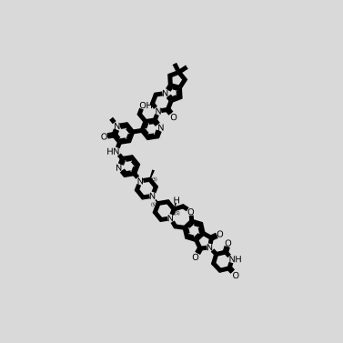 C[C@H]1CN([C@H]2CCN3Cc4cc5c(cc4OC[C@@H]3C2)C(=O)N(C2CCC(=O)NC2=O)C5=O)CCN1c1ccc(Nc2cc(-c3ccnc(N4CCn5c(cc6c5CC(C)(C)C6)C4=O)c3CO)cn(C)c2=O)nc1